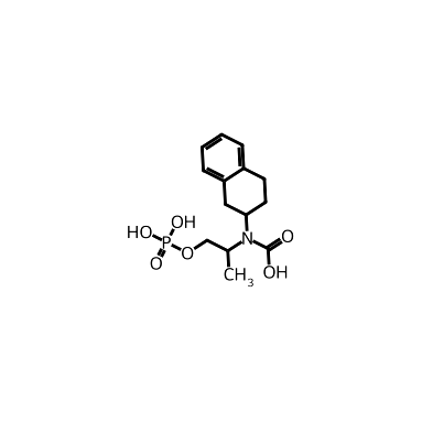 CC(COP(=O)(O)O)N(C(=O)O)C1CCc2ccccc2C1